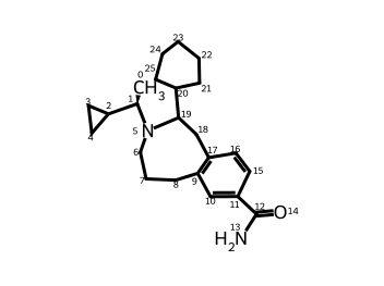 C[C@H](C1CC1)N1CCCc2cc(C(N)=O)ccc2CC1C1CCCCC1